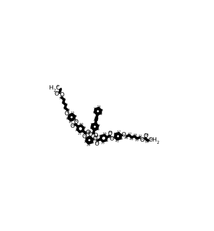 C=CC(=O)OCCCCCCOc1ccc(OC(=O)C2CCC(C(=O)Oc3cccc(OC(=O)C4CCC(C(=O)Oc5ccc(OCCCCCCOC(=O)C=C)cc5)CC4)c3OC(=O)c3ccc(C#Cc4ccccc4)cc3)CC2)cc1